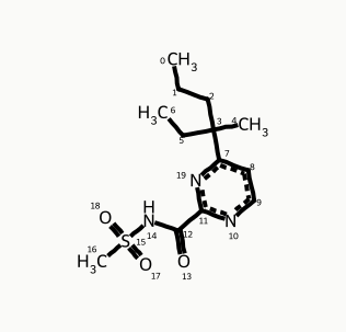 CCCC(C)(CC)c1ccnc(C(=O)NS(C)(=O)=O)n1